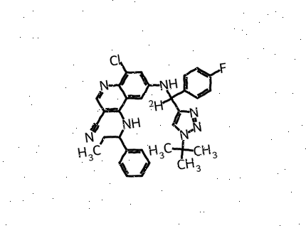 [2H]C(Nc1cc(Cl)c2ncc(C#N)c(NC(CC)c3ccccc3)c2c1)(c1ccc(F)cc1)c1cn(C(C)(C)C)nn1